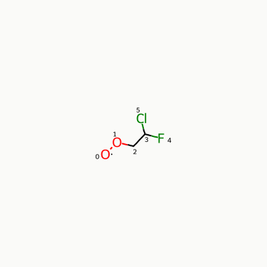 [O]OCC(F)Cl